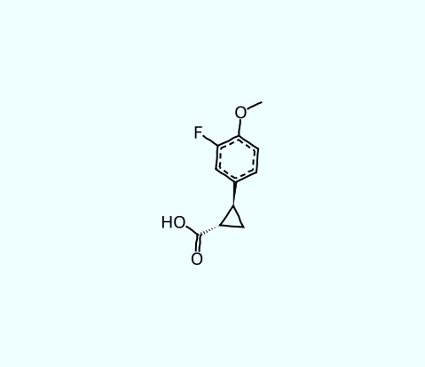 COc1ccc([C@H]2C[C@@H]2C(=O)O)cc1F